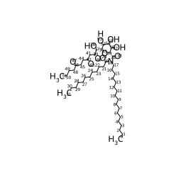 CCCCCCCCCCCCCCCCCCN(C(=O)CCCCCCCCCCC)C(=O)[C@@H]1O[C@H](C(O)C(=O)CC(=O)CCC(=O)CCCC)[C@@H](O)[C@H](O)[C@H]1O